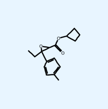 CCC1(c2ccc(C)cc2)OC1C(=O)OC1CCC1